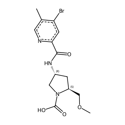 COC[C@@H]1C[C@@H](NC(=O)c2cc(Br)c(C)cn2)CN1C(=O)O